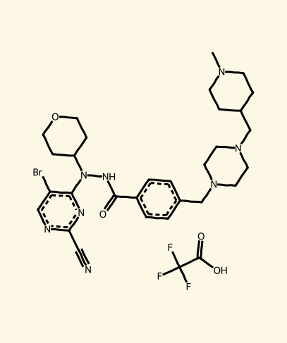 CN1CCC(CN2CCN(Cc3ccc(C(=O)NN(c4nc(C#N)ncc4Br)C4CCOCC4)cc3)CC2)CC1.O=C(O)C(F)(F)F